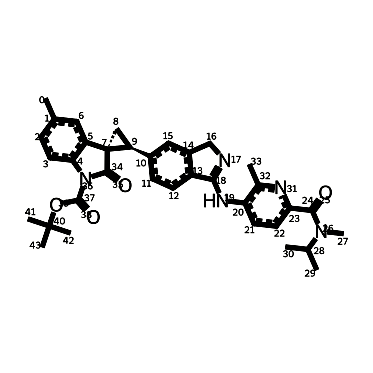 Cc1ccc2c(c1)[C@]1(C[C@H]1c1ccc3c(c1)CN=C3Nc1ccc(C(=O)N(C)C(C)C)nc1C)C(=O)N2C(=O)OC(C)(C)C